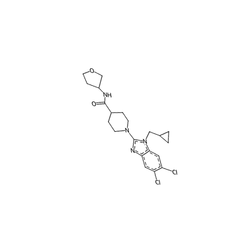 O=C(NC1CCOC1)C1CCN(c2nc3cc(Cl)c(Cl)cc3n2CC2CC2)CC1